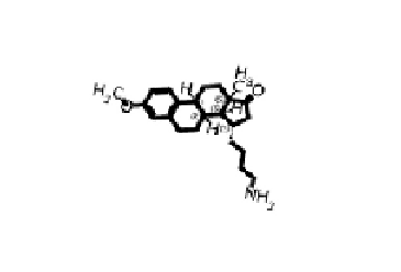 COc1ccc2c(c1)CC[C@H]1[C@@H]3[C@@H](CCCCN)CC(=O)[C@@]3(C)CC[C@H]21